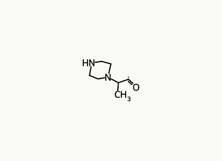 CC([C]=O)N1CCNCC1